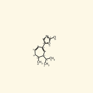 CC(C)C1C=C(c2cnc(Cl)o2)C=CCC1C